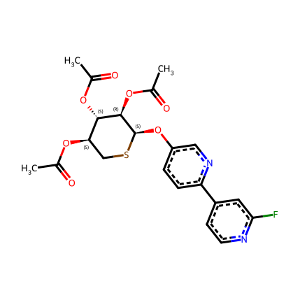 CC(=O)O[C@@H]1[C@@H](OC(C)=O)[C@@H](Oc2ccc(-c3ccnc(F)c3)nc2)SC[C@H]1OC(C)=O